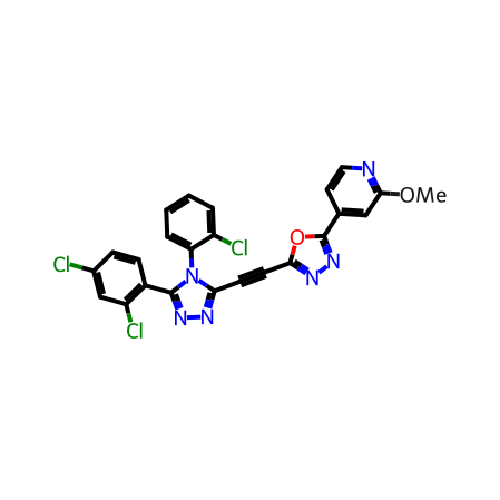 COc1cc(-c2nnc(C#Cc3nnc(-c4ccc(Cl)cc4Cl)n3-c3ccccc3Cl)o2)ccn1